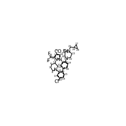 CCOC(=O)c1cnn(C2CCCN(c3cc(Cl)ccc3-c3ccc(N4CCN(CC5CC5)CC4)cc3)C2)c1C(F)F